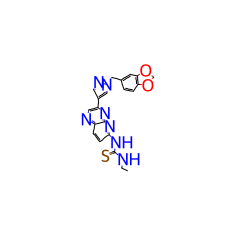 CCNC(=S)Nc1ccc2ncc(-c3cnn(Cc4ccc5c(c4)OCO5)c3)nc2n1